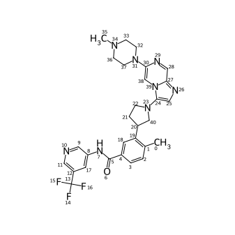 Cc1ccc(C(=O)Nc2cncc(C(F)(F)F)c2)cc1C1CCN(c2cnc3cnc(N4CCN(C)CC4)cn23)C1